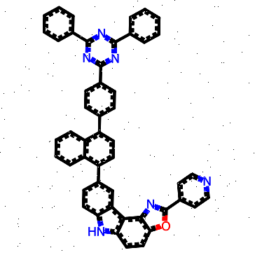 c1ccc(-c2nc(-c3ccccc3)nc(-c3ccc(-c4ccc(-c5ccc6[nH]c7ccc8oc(-c9ccncc9)nc8c7c6c5)c5ccccc45)cc3)n2)cc1